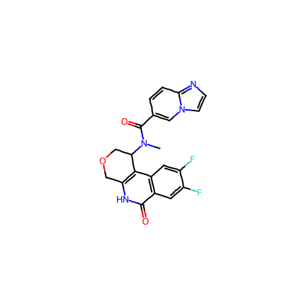 CN(C(=O)c1ccc2nccn2c1)C1COCc2[nH]c(=O)c3cc(F)c(F)cc3c21